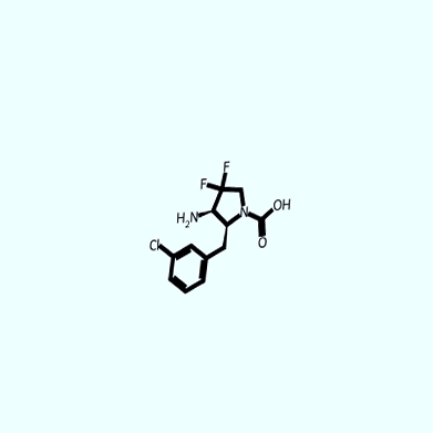 N[C@@H]1[C@H](Cc2cccc(Cl)c2)N(C(=O)O)CC1(F)F